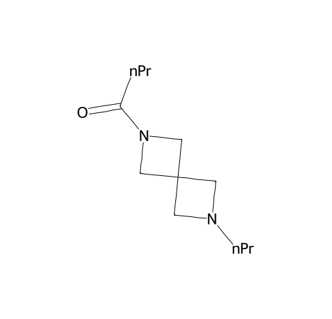 CCCC(=O)N1CC2(CN(CCC)C2)C1